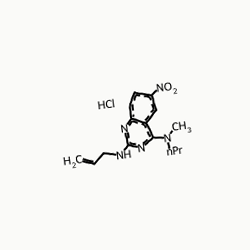 C=CCNc1nc(N(C)CCC)c2cc([N+](=O)[O-])ccc2n1.Cl